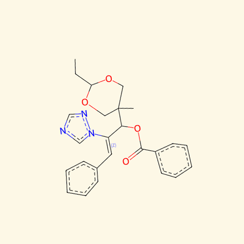 CCC1OCC(C)(C(OC(=O)c2ccccc2)/C(=C/c2ccccc2)n2cncn2)CO1